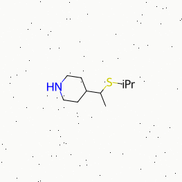 CC(C)SC(C)C1CCNCC1